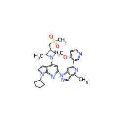 COc1ccncc1-c1cc2c(cnn2-c2cc(N3C[C@H](CS(C)(=O)=O)[C@H]3C)c3ccn(C4CCCC4)c3n2)c(C)n1